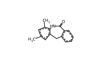 Cc1cc(C)c2c(c1)Cc1ccccc1C(=O)N2